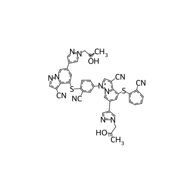 C[C@H](O)Cn1cc(-c2cc(Sc3ccccc3C#N)c3c(C#N)c[n+](-c4ccc(Sc5cc(-c6cnn(C[C@@H](C)O)c6)cn6ncc(C#N)c56)c(C#N)c4)n3c2)cn1